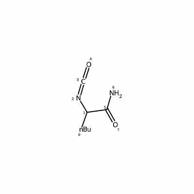 CCCCC(N=C=O)C(N)=O